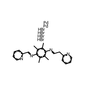 Br.Br.Br.Br.Cc1c(C)c(N=Cc2ccccn2)c(C)c(C)c1N=CCc1ccccn1.[Pd].[Pd]